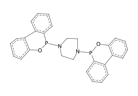 c1ccc2c(c1)OP(N1CCN(P3Oc4ccccc4-c4ccccc43)CC1)c1ccccc1-2